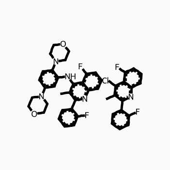 Cc1c(-c2ccccc2F)nc2cccc(F)c2c1Cl.Cc1c(-c2ccccc2F)nc2cccc(F)c2c1Nc1cc(N2CCOCC2)ccc1N1CCOCC1